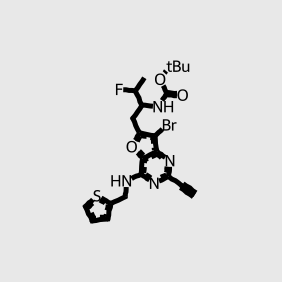 C#Cc1nc(NCc2cccs2)c2oc(CC(NC(=O)OC(C)(C)C)C(C)F)c(Br)c2n1